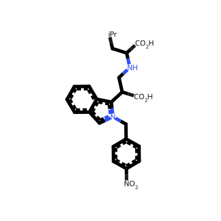 CC(C)CC(NCC(C(=O)O)c1c2ccccc2cn1Cc1ccc([N+](=O)[O-])cc1)C(=O)O